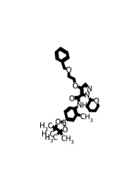 Cc1cc(B2OC(C)(C)C(C)(C)O2)ccc1NC(=O)c1c(OCCOCc2ccccc2)cnn1C1CCCCO1